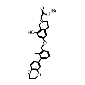 Cc1c(COc2cc(O)c3c(c2)CCN(CC(=O)OC(C)(C)C)C3)cccc1-c1ccc2c(c1)OCCO2